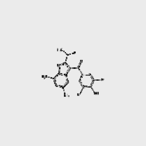 Bc1cc(B)c2oc(C(C)F)c(C(=O)c3cc(Br)c(O)c(Br)c3)c2c1